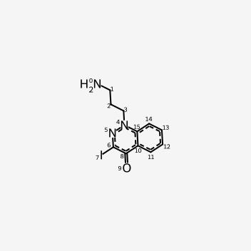 NCCCn1nc(I)c(=O)c2ccccc21